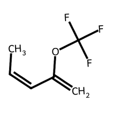 C=C(/C=C\C)OC(F)(F)F